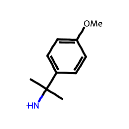 COc1ccc(C(C)(C)[NH])cc1